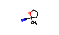 CC1(C#N)CCCO1